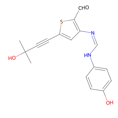 CC(C)(O)C#Cc1cc(/N=C\Nc2ccc(O)cc2)c(C=O)s1